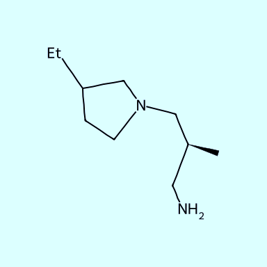 CCC1CCN(C[C@@H](C)CN)C1